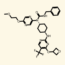 COCCOc1cnc(N(C(=O)NCc2ccccc2)[C@H]2CC[C@H](Nc3ncc(C(F)(F)F)c(OC4COC4)n3)CC2)cn1